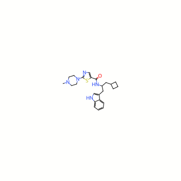 CN1CCN(c2ncc(C(=O)NC(Cc3c[nH]c4ccccc34)CC3CCC3)s2)CC1